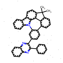 CC1(C)c2cccc3c2-c2c1ccc1c4ccccc4n(c21)-c1cc(-c2nc4ccccc4nc2-c2ccccc2)ccc1-3